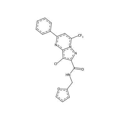 O=C(NCc1ccco1)c1nn2c(C(F)(F)F)cc(-c3ccccc3)nc2c1Cl